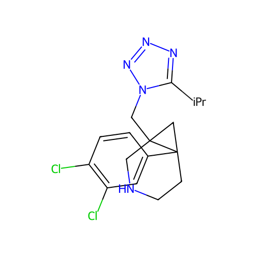 CC(C)c1nnnn1CC12CNCCC1(c1ccc(Cl)c(Cl)c1)C2